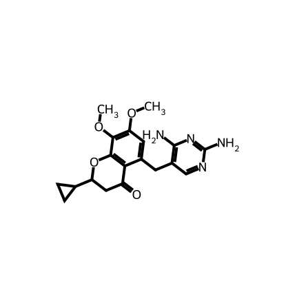 COc1cc(Cc2cnc(N)nc2N)c2c(c1OC)OC(C1CC1)CC2=O